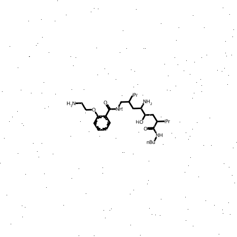 CCCCNC(=O)C(CC(O)C(N)CC(CNC(=O)c1ccccc1OCCN)C(C)C)C(C)C